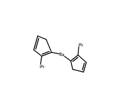 CC(C)C1=[C]([Ba][C]2=C(C(C)C)C=CC2)CC=C1